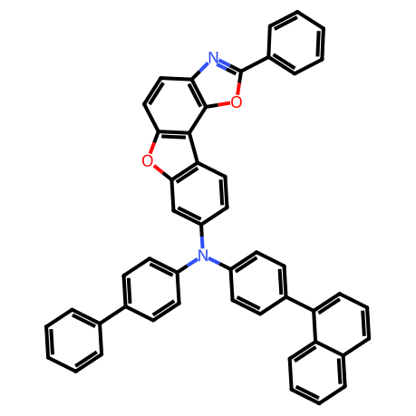 c1ccc(-c2ccc(N(c3ccc(-c4cccc5ccccc45)cc3)c3ccc4c(c3)oc3ccc5nc(-c6ccccc6)oc5c34)cc2)cc1